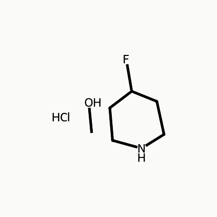 CO.Cl.FC1CCNCC1